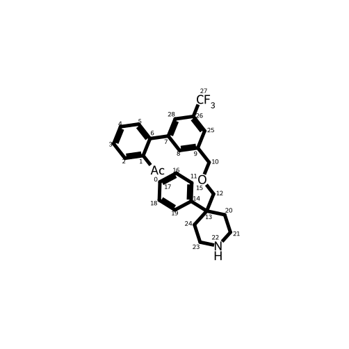 CC(=O)c1ccccc1-c1cc(COCC2(c3ccccc3)CCNCC2)cc(C(F)(F)F)c1